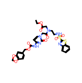 CCOC(=O)CN(CCNS(=O)(=O)c1nc2ccccc2s1)C(=O)Cn1ccc(NC(=O)OCc2ccc3c(c2)OCO3)nc1=O